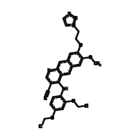 COc1cc2cc3c(Nc4ccc(OCCl)cc4OCCl)c(C#N)cnc3cc2cc1OCCn1ccnn1